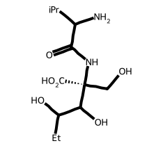 CCC(O)C(O)[C@](CO)(NC(=O)C(N)C(C)C)C(=O)O